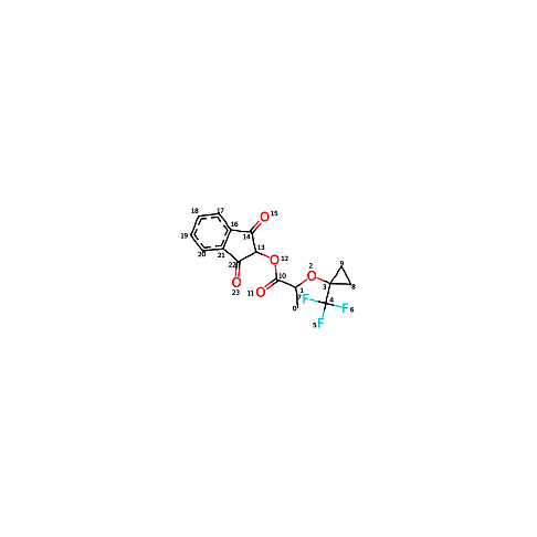 CC(OC1(C(F)(F)F)CC1)C(=O)OC1C(=O)c2ccccc2C1=O